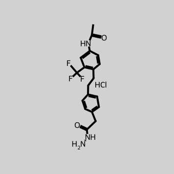 CC(=O)Nc1ccc(CCc2ccc(CC(=O)NN)cc2)c(C(F)(F)F)c1.Cl